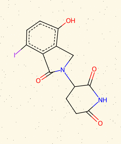 O=C1CCC(N2Cc3c(O)ccc(I)c3C2=O)C(=O)N1